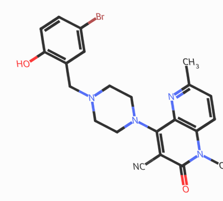 Cc1ccc2c(n1)c(N1CCN(Cc3cc(Br)ccc3O)CC1)c(C#N)c(=O)n2C